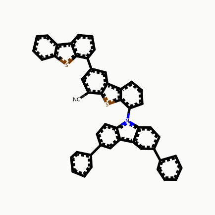 N#Cc1cc(-c2cccc3c2sc2ccccc23)cc2c1sc1c(-n3c4ccc(-c5ccccc5)cc4c4cc(-c5ccccc5)ccc43)cccc12